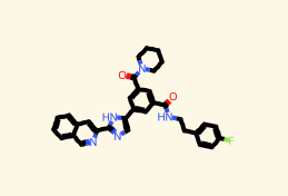 O=C(NCCc1ccc(F)cc1)c1cc(C(=O)N2CCCCC2)cc(-c2cnc(-c3cc4ccccc4cn3)[nH]2)c1